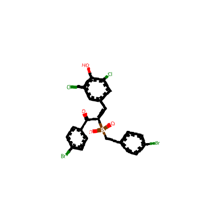 O=C(/C(=C\c1cc(Cl)c(O)c(Cl)c1)S(=O)(=O)Cc1ccc(Br)cc1)c1ccc(Br)cc1